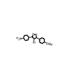 CCc1c(-c2ccc(OC)cc2)noc1-c1ccc(N)cc1